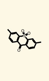 Cc1ccc2c(c1)S(=O)(=O)c1cc(C)ccc1C2=O